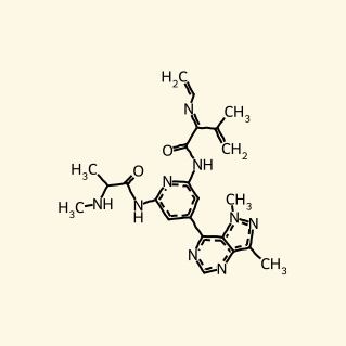 C=C/N=C(\C(=C)C)C(=O)Nc1cc(-c2ncnc3c(C)nn(C)c23)cc(NC(=O)C(C)NC)n1